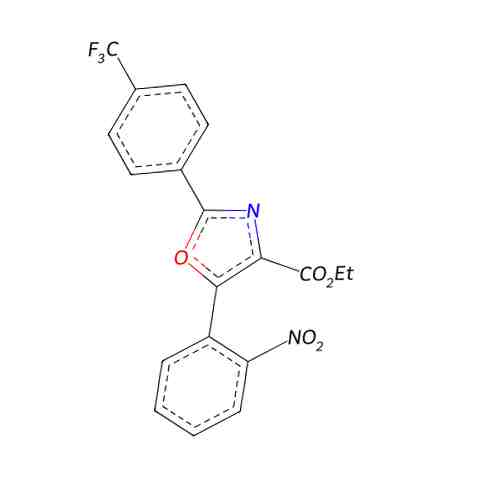 CCOC(=O)c1nc(-c2ccc(C(F)(F)F)cc2)oc1-c1ccccc1[N+](=O)[O-]